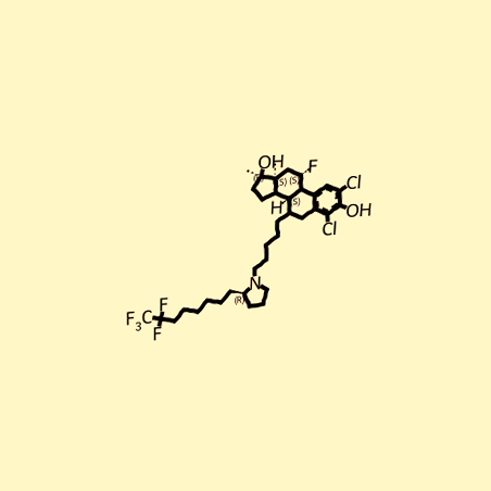 C[C@]12C[C@H](F)C3c4cc(Cl)c(O)c(Cl)c4CC(CCCCCN4CCC[C@H]4CCCCCCC(F)(F)C(F)(F)F)[C@H]3C1CC[C@@]2(C)O